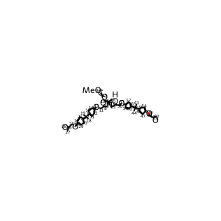 COCCOCC(C)N(CC(O)COc1ccc(C(C)(C)c2ccc(OCC3CO3)cc2)cc1)CC(O)COc1ccc(C(C)(C)c2ccc(OCC3CO3)cc2)cc1